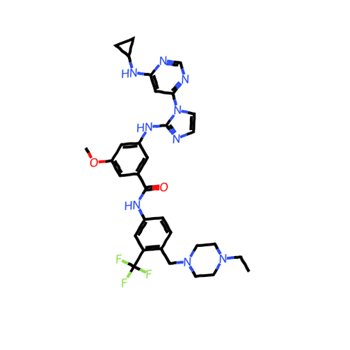 CCN1CCN(Cc2ccc(NC(=O)c3cc(Nc4nccn4-c4cc(NC5CC5)ncn4)cc(OC)c3)cc2C(F)(F)F)CC1